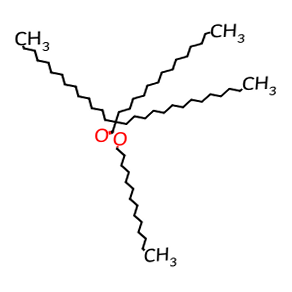 CCCCCCCCCCCCCCOC(=O)C(CCCCCCCCCCCCCC)(CCCCCCCCCCCCCC)CCCCCCCCCCCCCC